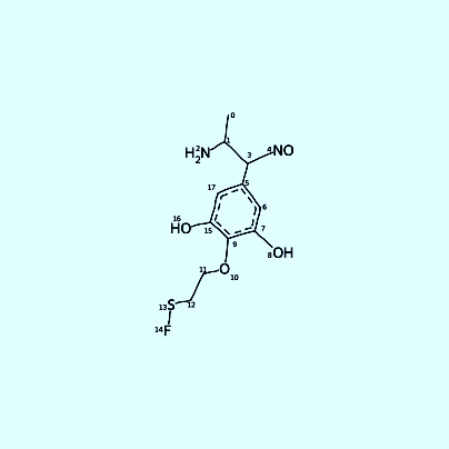 CC(N)C(N=O)c1cc(O)c(OCCSF)c(O)c1